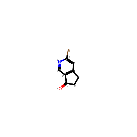 O=C1CCc2cc(Br)ncc21